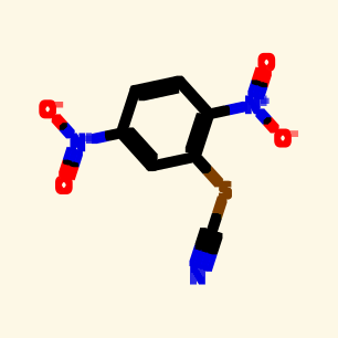 N#CSc1cc([N+](=O)[O-])ccc1[N+](=O)[O-]